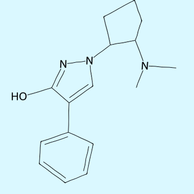 CN(C)C1CCCC1n1cc(-c2ccccc2)c(O)n1